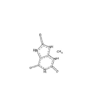 C.O=c1[nH]c(=O)c2[nH]c(=O)[nH]c2[nH]1